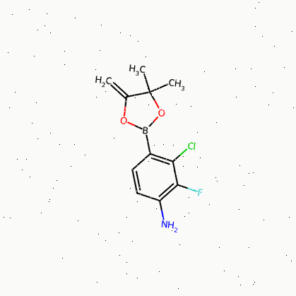 C=C1OB(c2ccc(N)c(F)c2Cl)OC1(C)C